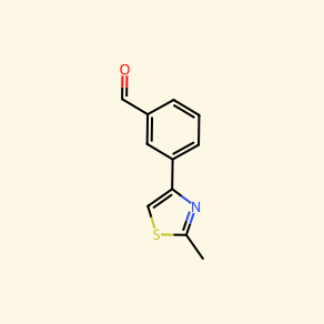 Cc1nc(-c2cccc(C=O)c2)cs1